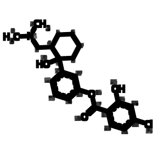 CN(C)CC1CCCCC1(O)c1cccc(OC(=O)c2ccc(Cl)cc2O)c1